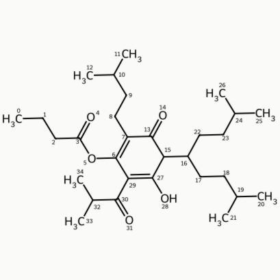 CCCC(=O)OC1=C(CCC(C)C)C(=O)C(C(CCC(C)C)CCC(C)C)C(O)=C1C(=O)C(C)C